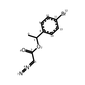 CC(OC(=O)C=[N+]=[N-])c1ccc(Br)cc1